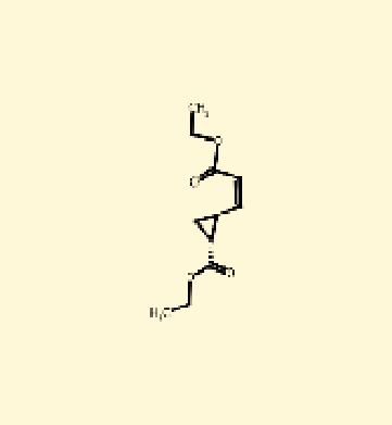 CCOC(=O)/C=C\[C@@H]1C[C@H]1C(=O)OCC